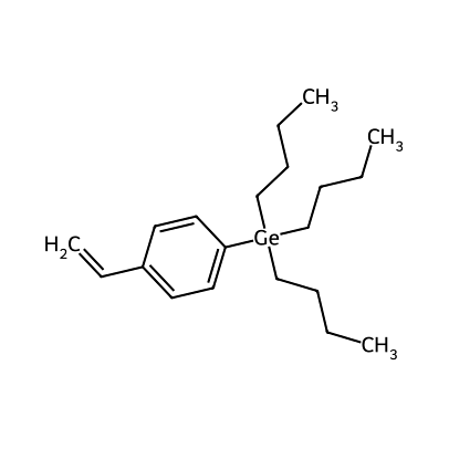 C=Cc1cc[c]([Ge]([CH2]CCC)([CH2]CCC)[CH2]CCC)cc1